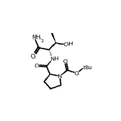 C[C@@H](O)[C@H](NC(=O)C1CCCN1C(=O)OC(C)(C)C)C(N)=O